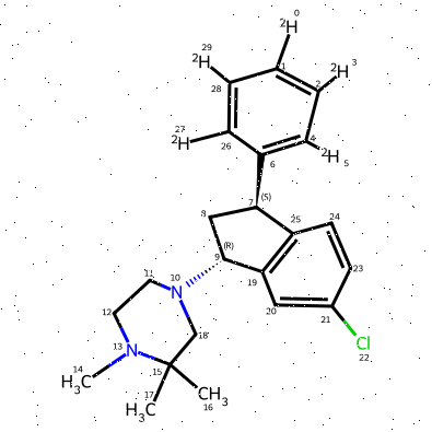 [2H]c1c([2H])c([2H])c([C@@H]2C[C@@H](N3CCN(C)C(C)(C)C3)c3cc(Cl)ccc32)c([2H])c1[2H]